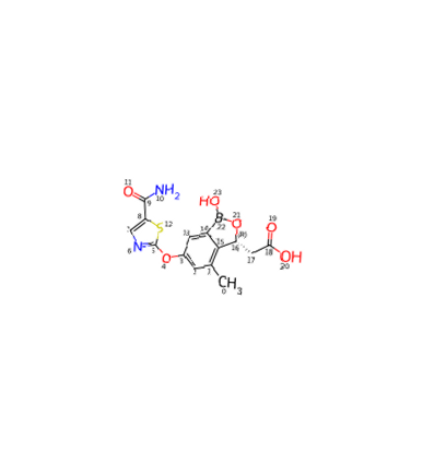 Cc1cc(Oc2ncc(C(N)=O)s2)cc2c1[C@@H](CC(=O)O)OB2O